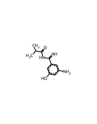 CC(C)C(=O)NC(=N)c1cc(N)cc(O)c1